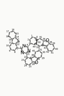 c1ccc(-c2nc(-c3cccc4c3sc3ccccc34)nc(-c3cccc4oc5ccc(-c6cccc7oc8ccccc8c67)cc5c34)n2)cc1